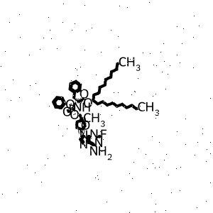 CCCCCCCCCCC(CCCCCCCCCC)OC(=O)[C@H](Cc1ccccc1)NP(=O)(OC[C@]1(C)CC[C@H](n2cnc3c(N)nc(F)nc32)O1)Oc1ccccc1